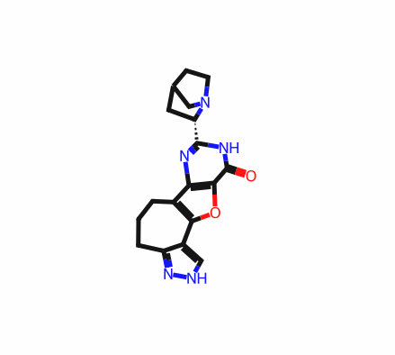 O=c1[nH]c([C@@H]2CC3CCN2C3)nc2c3c(oc12)-c1c[nH]nc1CCC3